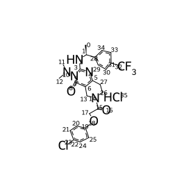 C[C@H](Nc1nc2c(c(=O)n1N(C)C)CN(C(=O)COc1ccc(Cl)cc1)CC2)c1ccc(C(F)(F)F)cc1.Cl